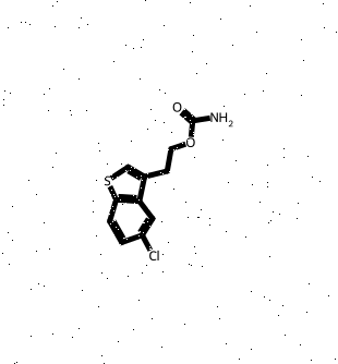 NC(=O)OCCc1csc2ccc(Cl)cc12